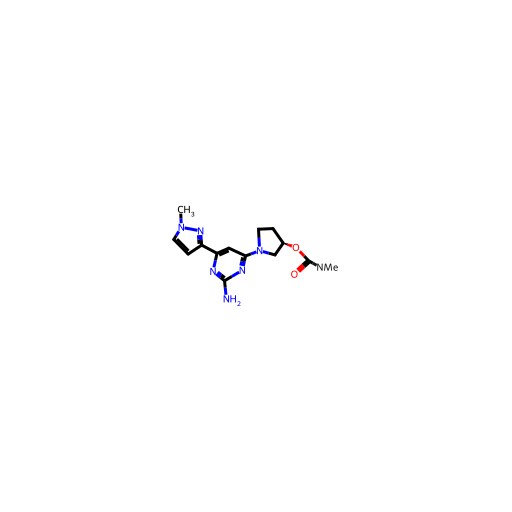 CNC(=O)O[C@@H]1CCN(c2cc(-c3ccn(C)n3)nc(N)n2)C1